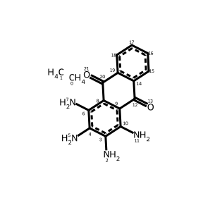 C.C.Nc1c(N)c(N)c2c(c1N)C(=O)c1ccccc1C2=O